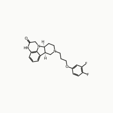 O=C1CN2c3c(cccc3[C@@H]3CN(CCCOc4ccc(F)c(F)c4)CC[C@@H]32)N1